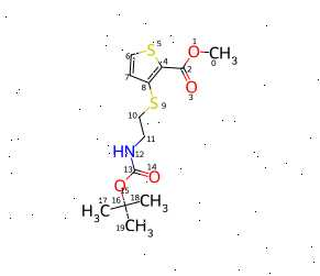 COC(=O)c1sccc1SCCNC(=O)OC(C)(C)C